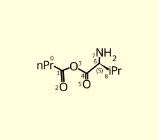 CCCC(=O)OC(=O)[C@@H](N)C(C)C